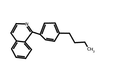 CCCCc1ccc(-c2nccc3ccccc23)cc1